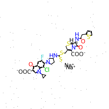 O=C(Cc1cccs1)N[C@@H]1C(=O)N2C(C(=O)[O-])=C(CSC(=S)NC3CCN(c4c(F)cc5c(=O)c(C(=O)[O-])cn(C6CC6)c5c4Cl)C3)CS[C@H]12.[Na+].[Na+]